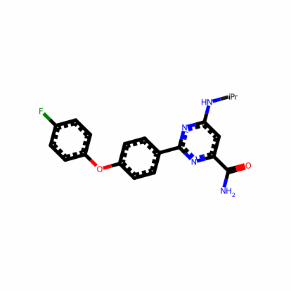 CC(C)Nc1cc(C(N)=O)nc(-c2ccc(Oc3ccc(F)cc3)cc2)n1